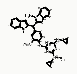 COc1cc(C(c2cc3ccccc3[nH]2)c2cc3ccccc3n2N)ccc1OC1=NC(N(N)C2CC2)=NC(NC2CC2)N1